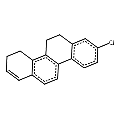 Clc1ccc2c(c1)CCc1c-2ccc2c1CCC=C2